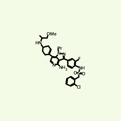 COCC(C)NC1CC=C(c2cnc(N)c3c(-c4ccc(NS(=O)(=O)Cc5ccccc5Cl)c(F)c4)nn(C(C)C)c23)CC1